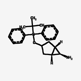 CC(C)(C)[Si](OC1C[C@@H]2[C@@H](N)[C@@H]2C1)(c1ccccc1)c1ccccc1